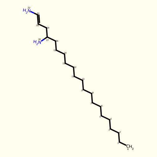 CCCCCCCCCCCCCCCCCC(N)CC=CN